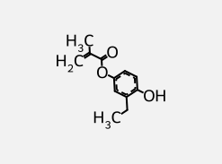 C=C(C)C(=O)Oc1ccc(O)c(CC)c1